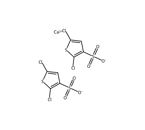 O=S(=O)([O-])c1cc(Cl)sc1Cl.O=S(=O)([O-])c1cc(Cl)sc1Cl.[Ca+2]